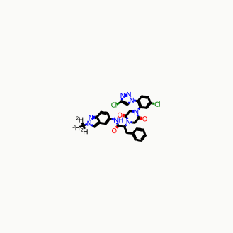 [2H]C([2H])([2H])n1cc2cc(NC(=O)C(Cc3ccccc3)N3CC(=O)N(c4cc(Cl)ccc4-n4cc(Cl)nn4)CC3=O)ccc2n1